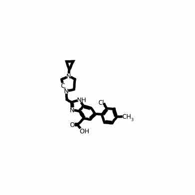 Cc1ccc(-c2cc(C(=O)O)c3nc(CN4CCN(C5CC5)CC4)[nH]c3c2)c(Cl)c1